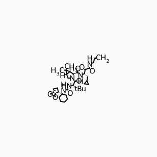 C=CCNC(=O)C(=O)[C@H](CC1CC1)NC(=O)[C@@H]1[C@@H]2[C@H](CN1C(=O)[C@@H](NC(=O)NC1([C@H]3CCS3(=O)=O)CCCCC1)C(C)(C)C)C2(C)C